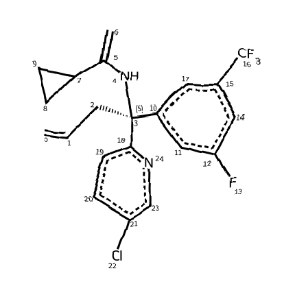 C=CC[C@](NC(=C)C1CC1)(c1cc(F)cc(C(F)(F)F)c1)c1ccc(Cl)cn1